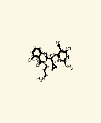 N#Cc1c(Cl)nc(N)nc1NC(c1nc2cccc(Cl)c2c(=O)n1CCCN)C1CC1